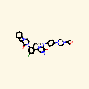 CC(=O)OCc1c(-c2cn(C)c(=O)c(Nc3ccc(N4CCN(C5COC5)CC4)cc3)n2)cc(F)cc1N1CCn2c(cc3c2CCCC3)C1=O